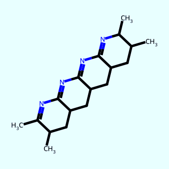 CC1=NC2=NC3=NC4=NC(C)C(C)CC4CC3CC2CC1C